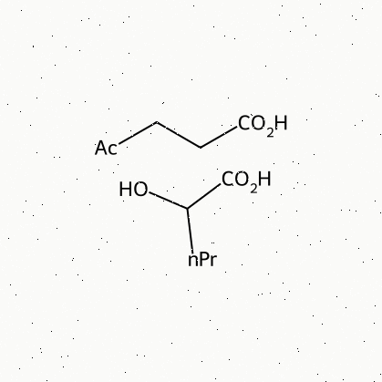 CC(=O)CCC(=O)O.CCCC(O)C(=O)O